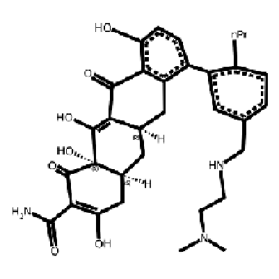 CCCc1ccc(CNCCN(C)C)cc1-c1ccc(O)c2c1C[C@H]1C[C@H]3CC(O)=C(C(N)=O)C(=O)[C@@]3(O)C(O)=C1C2=O